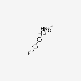 C=CC(=O)Nc1ccc(-c2ccc(C3CCC(CCF)CC3)cc2)c(C)c1